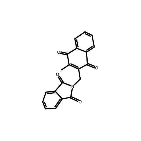 CC1=C(CN2C(=O)c3ccccc3C2=O)C(=O)c2ccccc2C1=O